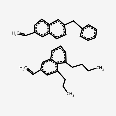 C=Cc1cc(CCC)c2c(CCCC)cccc2c1.C=Cc1ccc2cc(Cc3ccccc3)ccc2c1